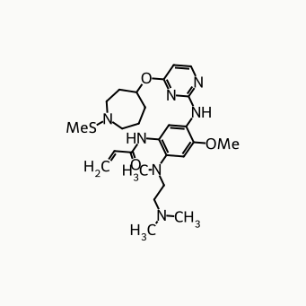 C=CC(=O)Nc1cc(Nc2nccc(OC3CCCN(SC)CC3)n2)c(OC)cc1N(C)CCN(C)C